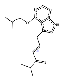 CC(C)COc1ncnc2[nH]cc(C/C=C/C(=O)C(C)C)c12